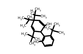 CC(C)(C)C1=CC(C(C)(C)C)(C(C)(C)C)C=C(O)C1c1c(O)cccc1C(C)(C)C